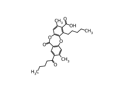 CCCCCc1c2c(cc(C)c1C(=O)O)OC(=O)c1cc(C(=O)CCCC)c(C)cc1O2